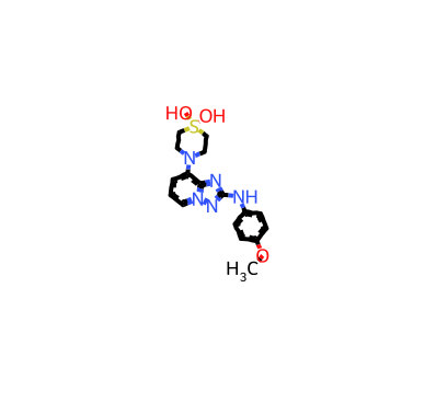 COc1ccc(Nc2nc3c(N4CCS(O)(O)CC4)cccn3n2)cc1